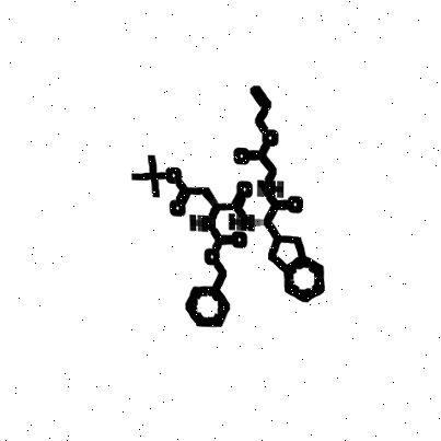 C=CCOC(=O)CNC(=O)[C@@H](NC(=O)[C@H](CC(=O)OC(C)(C)C)NC(=O)OCc1ccccc1)C1Cc2ccccc2C1